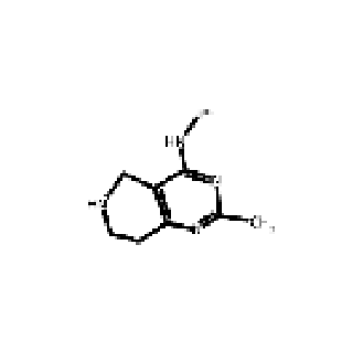 Cc1nc2c(c(NC(C)C)n1)CNCC2